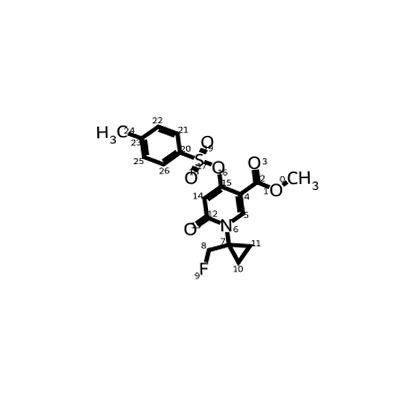 COC(=O)c1cn(C2(CF)CC2)c(=O)cc1OS(=O)(=O)c1ccc(C)cc1